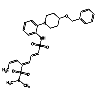 C\C=C/C(=C\C=C\S(=O)(=O)Nc1ccccc1N1CCC(OCc2ccccc2)CC1)S(=O)(=O)N(C)C